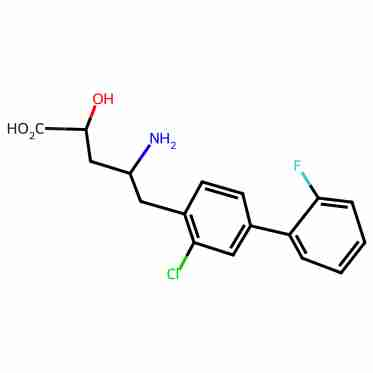 NC(Cc1ccc(-c2ccccc2F)cc1Cl)CC(O)C(=O)O